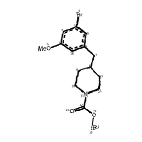 COc1cc(Br)cc(CC2CCN(C(=O)OC(C)(C)C)CC2)c1